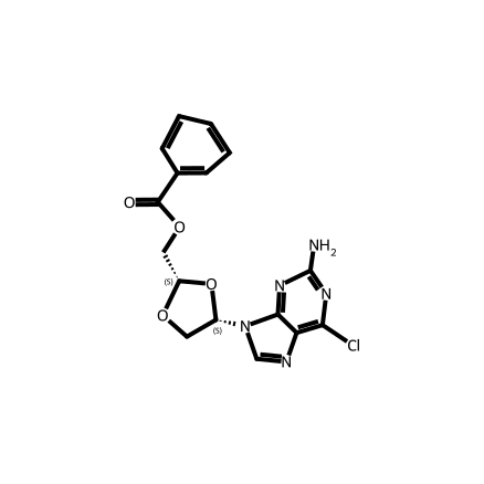 Nc1nc(Cl)c2ncn([C@@H]3CO[C@H](COC(=O)c4ccccc4)O3)c2n1